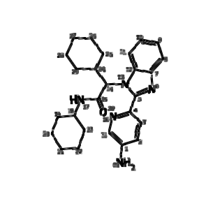 Nc1ccc(-c2nc3ccccc3n2C(C(=O)NC2CCCCC2)C2CCCCC2)nc1